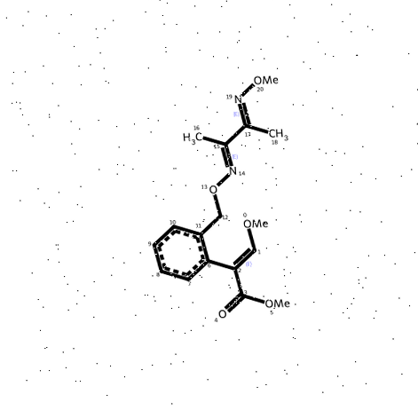 CO/C=C(/C(=O)OC)c1ccccc1CO/N=C(C)/C(C)=N/OC